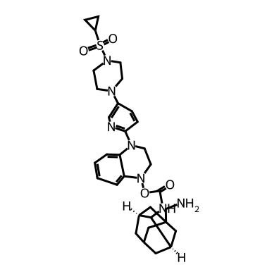 NCC12CC3C[C@H](C1)C(NC(=O)ON1CCN(c4ccc(N5CCN(S(=O)(=O)C6CC6)CC5)cn4)c4ccccc41)[C@@H](C3)C2